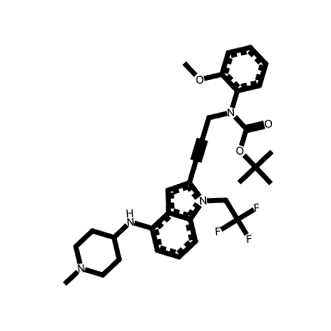 COc1ccccc1N(CC#Cc1cc2c(NC3CCN(C)CC3)cccc2n1CC(F)(F)F)C(=O)OC(C)(C)C